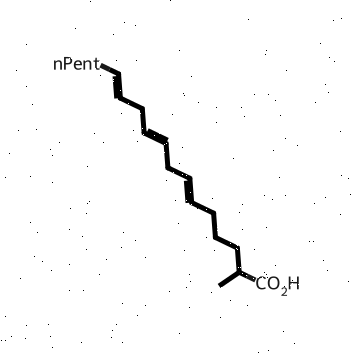 CCCCC/C=C/C/C=C/C/C=C/CCCC(C)C(=O)O